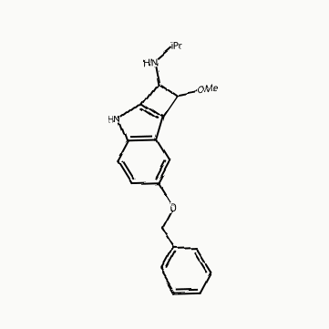 COC1c2c([nH]c3ccc(OCc4ccccc4)cc23)C1NC(C)C